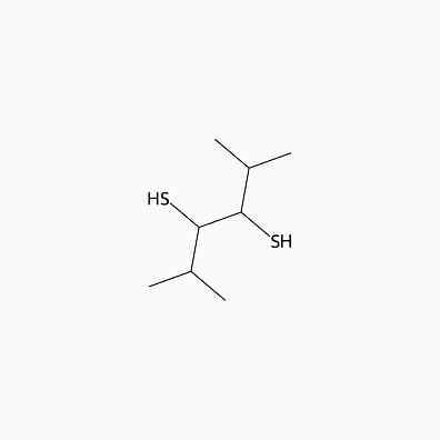 CC(C)C(S)C(S)C(C)C